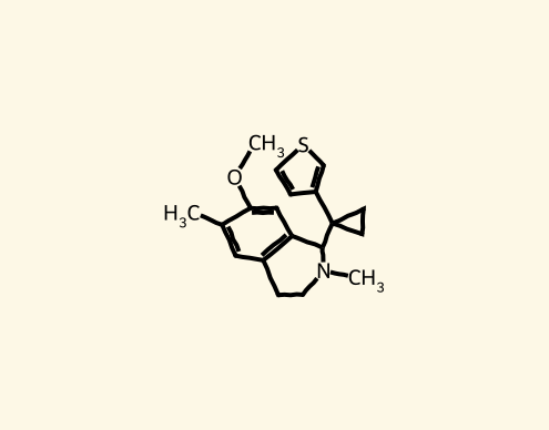 COc1cc2c(cc1C)CCN(C)C2C1(c2ccsc2)CC1